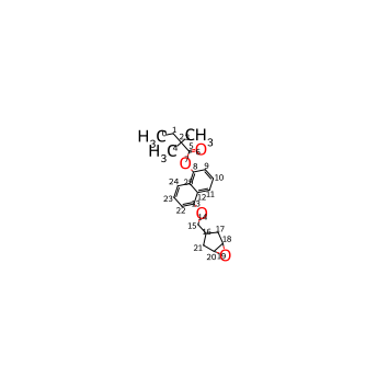 CCC(C)(C)C(=O)Oc1cccc2c(OCC3CC4OC4C3)cccc12